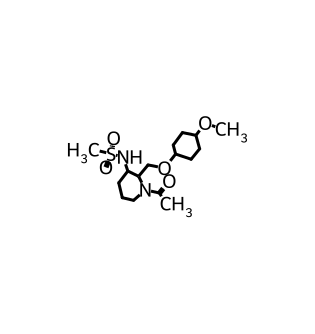 COC1CCC(OCC2C(NS(C)(=O)=O)CCCN2C(C)=O)CC1